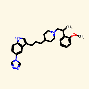 COc1ccccc1C(C)CN1CCC(CCCc2c[nH]c3ccc(-n4cnnc4)cc23)CC1